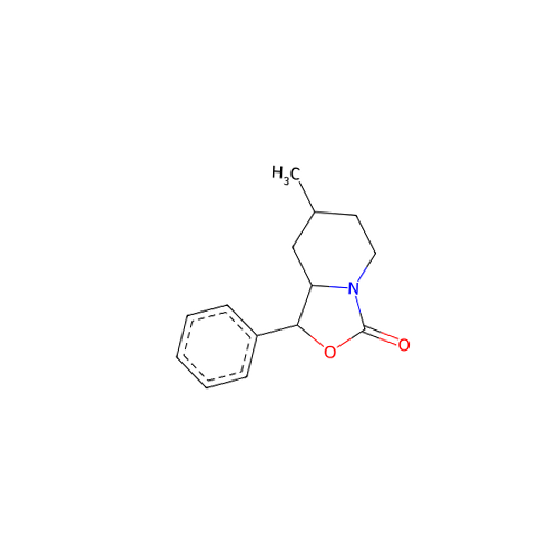 CC1CCN2C(=O)OC(c3ccccc3)C2C1